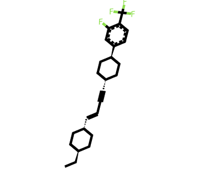 CC[C@H]1CC[C@H](C=CC#C[C@H]2CC[C@H](c3ccc(C(F)(F)F)c(F)c3)CC2)CC1